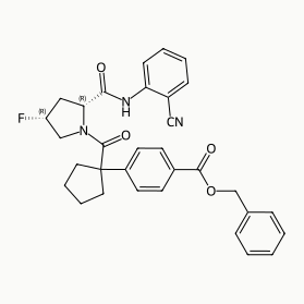 N#Cc1ccccc1NC(=O)[C@H]1C[C@@H](F)CN1C(=O)C1(c2ccc(C(=O)OCc3ccccc3)cc2)CCCC1